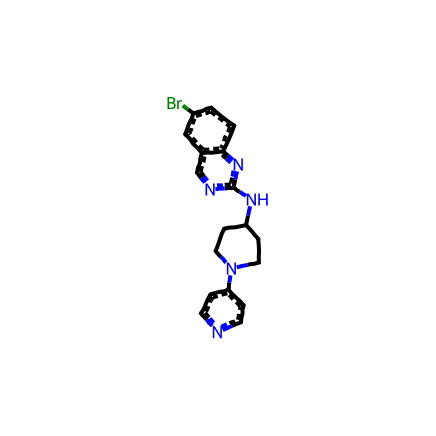 Brc1ccc2nc(NC3CCN(c4ccncc4)CC3)ncc2c1